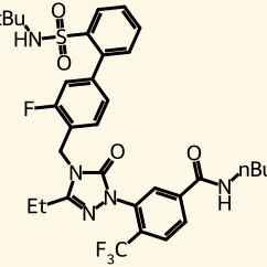 CCCCNC(=O)c1ccc(C(F)(F)F)c(-n2nc(CC)n(Cc3ccc(-c4ccccc4S(=O)(=O)NC(C)(C)C)cc3F)c2=O)c1